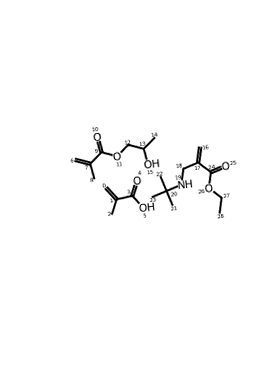 C=C(C)C(=O)O.C=C(C)C(=O)OCC(C)O.C=C(CNC(C)(C)C)C(=O)OCC